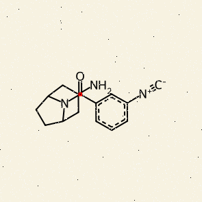 [C-]#[N+]c1cccc(C(=O)N2C3CCC2CC(N)C3)c1